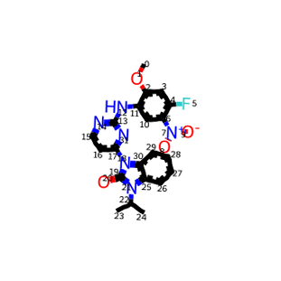 COc1cc(F)c([N+](=O)[O-])cc1Nc1nccc(-n2c(=O)n(C(C)C)c3ccccc32)n1